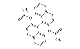 CC(=O)Oc1ccc2ccccc2c1-c1c(OC(C)=O)ccc2ccccc12